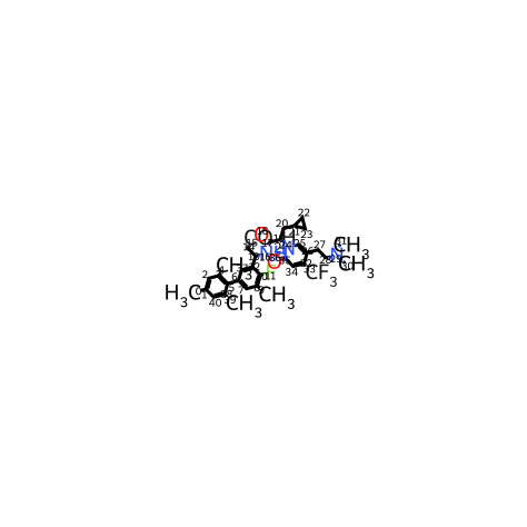 Cc1cc(C)c(-c2cc(C)c(F)c(C(CC(=O)O)NC(=O)C(CC3CC3)n3cc(CCN(C)C)c(C(F)(F)F)cc3=O)c2)c(C)c1